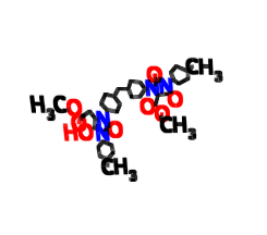 CCOC(=O)CC1C(O)N(C2CCC(C)CC2)C(=O)N1C1CCC(CC2CCC(N3C(=O)N(C4CCC(C)CC4)C(=O)C3C(=O)OCC)CC2)CC1